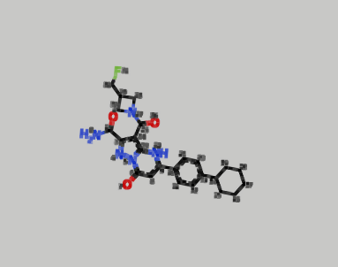 NC(=O)c1nn2c(=O)cc(-c3ccc(C4CCCCC4)cc3)[nH]c2c1C(=O)N1CC(CF)C1